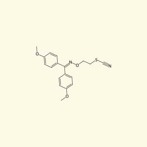 COc1ccc(C(=NOCCSC#N)c2ccc(OC)cc2)cc1